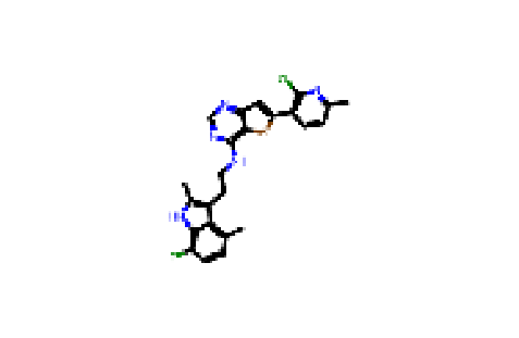 Cc1ccc(-c2cc3ncnc(NCCc4c(C)[nH]c5c(F)ccc(C)c45)c3s2)c(Cl)n1